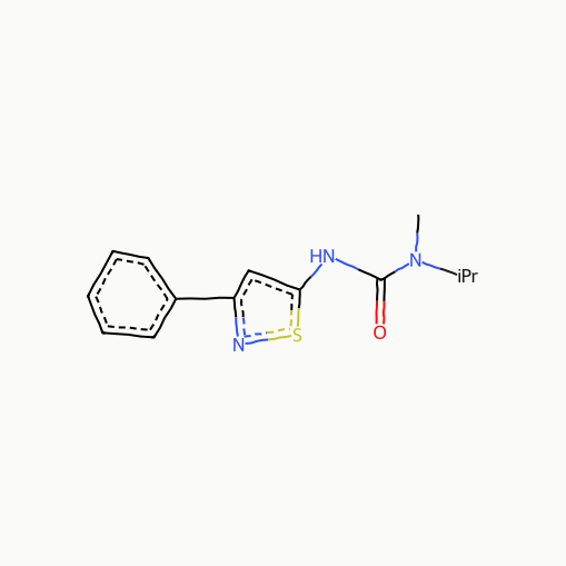 CC(C)N(C)C(=O)Nc1cc(-c2ccccc2)ns1